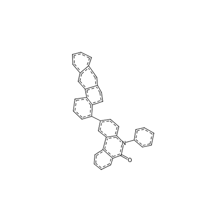 O=c1c2ccccc2c2cc(-c3cccc4c3ccc3cc5ccccc5cc34)ccc2n1-c1ccccc1